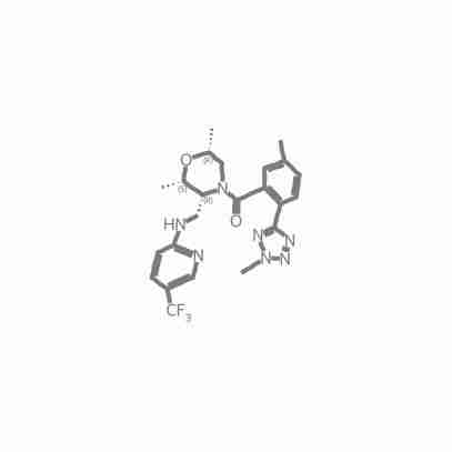 Cc1ccc(-c2nnn(C)n2)c(C(=O)N2C[C@@H](C)O[C@@H](C)[C@H]2CNc2ccc(C(F)(F)F)cn2)c1